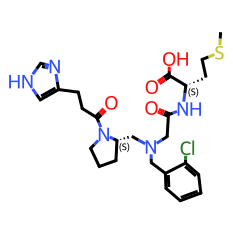 CSCC[C@H](NC(=O)CN(Cc1ccccc1Cl)C[C@@H]1CCCN1C(=O)CCc1c[nH]cn1)C(=O)O